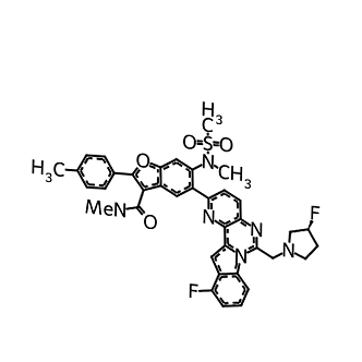 CNC(=O)c1c(-c2ccc(C)cc2)oc2cc(N(C)S(C)(=O)=O)c(-c3ccc4nc(CN5CC[C@H](F)C5)n5c6cccc(F)c6cc5c4n3)cc12